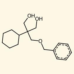 OCC(CO)(COCc1ccccc1)C1CCCCC1